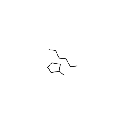 CC1CCCC1.CCCCCC